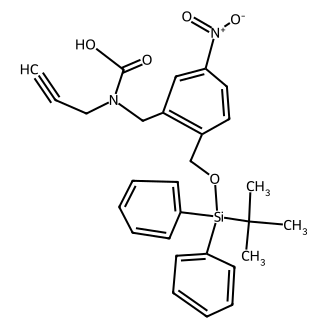 C#CCN(Cc1cc([N+](=O)[O-])ccc1CO[Si](c1ccccc1)(c1ccccc1)C(C)(C)C)C(=O)O